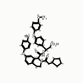 CC(C)(C)c1ccc(Oc2ccc3c(c2)C(C(=O)NC(CC(=O)O)c2ccc(Oc4ccc(OC(F)(F)F)cc4)cc2)N(C(=O)CC2CCCC2)CC3)cc1